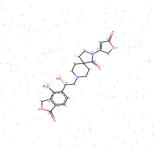 Cc1c([C@H](O)CN2CCC3(CC2)CCN(C2=CC(=O)OC2)C3=O)ccc2c1COC2=O